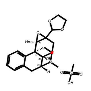 CN1CC[C@@]23c4ccccc4C[C@@H]1[C@]2(O)CCC1(C2OCCO2)O[C@@H]13.CS(=O)(=O)O